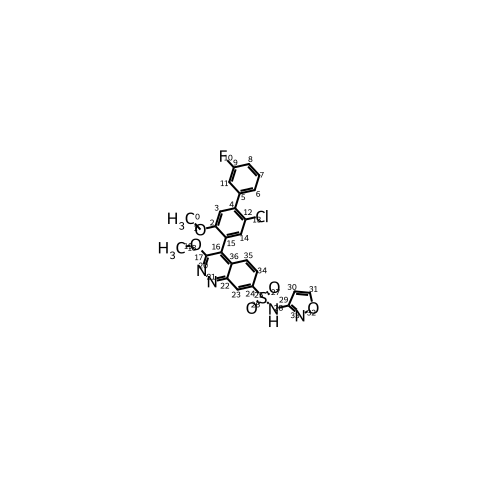 COc1cc(-c2cccc(F)c2)c(Cl)cc1-c1c(OC)nnc2cc(S(=O)(=O)Nc3ccon3)ccc12